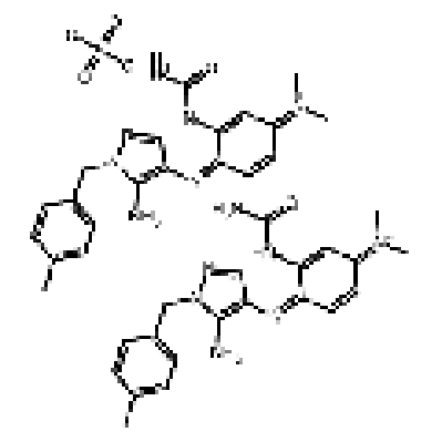 Cc1ccc(Cn2ncc(/N=C3/C=CC(=[N+](C)C)C=C3NC(N)=O)c2N)cc1.Cc1ccc(Cn2ncc(/N=C3/C=CC(=[N+](C)C)C=C3NC(N)=O)c2N)cc1.O=S(=O)([O-])[O-]